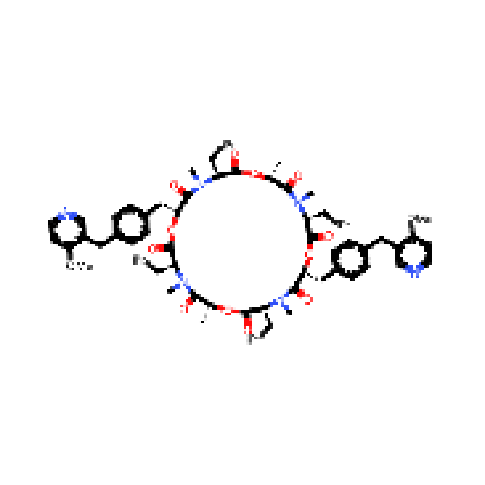 COc1ccncc1Cc1ccc(C[C@H]2OC(=O)[C@H](CC(C)C)N(C)C(=O)[C@@H](C)OC(=O)[C@H](CC(C)C)N(C)C(=O)[C@@H](Cc3ccc(Cc4cnccc4OC)cc3)OC(=O)[C@H](CC(C)C)N(C)C(=O)[C@@H](C)OC(=O)[C@H](CC(C)C)N(C)C2=O)cc1